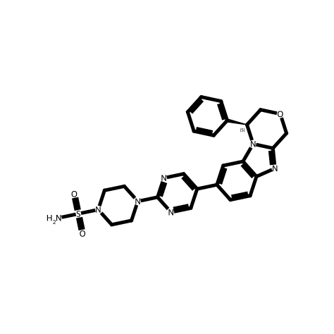 NS(=O)(=O)N1CCN(c2ncc(-c3ccc4nc5n(c4c3)[C@@H](c3ccccc3)COC5)cn2)CC1